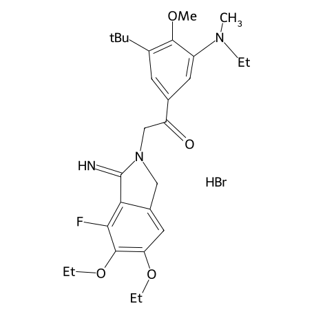 Br.CCOc1cc2c(c(F)c1OCC)C(=N)N(CC(=O)c1cc(N(C)CC)c(OC)c(C(C)(C)C)c1)C2